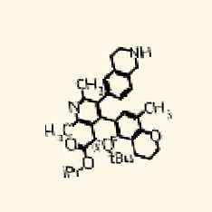 Cc1cc(-c2c(-c3ccc4c(c3)CCNC4)c(C)nc(C)c2[C@H](OC(C)(C)C)C(=O)OC(C)C)c(F)c2c1OCCC2